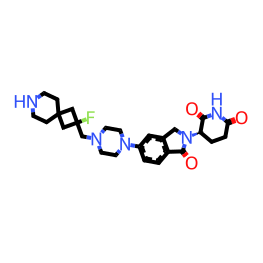 O=C1CC[C@@H](N2Cc3cc(N4CCN(CC5(F)CC6(CCNCC6)C5)CC4)ccc3C2=O)C(=O)N1